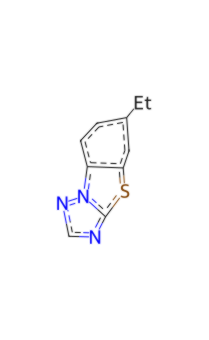 CCc1ccc2c(c1)sc1ncnn12